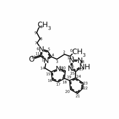 CCCCc1cn(CCCC)c(=O)n1Cc1ccc(-c2ccccc2-c2nnn[nH]2)cn1